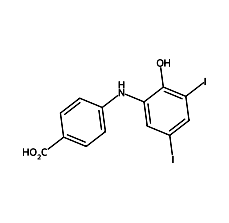 O=C(O)c1ccc(Nc2cc(I)cc(I)c2O)cc1